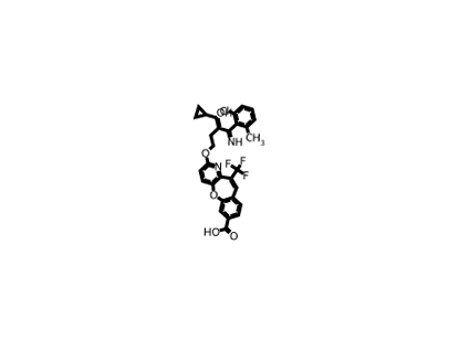 Cc1cccc(Cl)c1C(=N)/C(CCOc1ccc2c(n1)C(C(F)(F)F)=Cc1ccc(C(=O)O)cc1O2)=C(\O)C1CC1